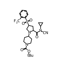 CC(C)(C)OC(=O)N1CCC(N2CC(S(=O)(=O)c3ccccc3C(F)(F)F)CC2C(=O)N(C#N)C2CC2)CC1